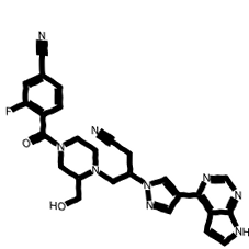 N#CCC(CN1CCN(C(=O)c2ccc(C#N)cc2F)CC1CO)n1cc(-c2ncnc3[nH]ccc23)cn1